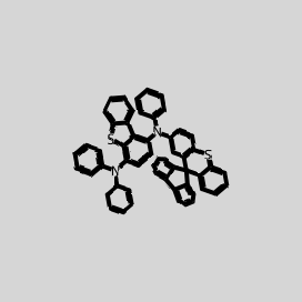 C1=CCC(N(c2ccccc2)c2ccc(N(c3ccccc3)c3ccc4c(c3)C3(c5ccccc5S4)c4ccccc4-c4ccccc43)c3c2sc2ccccc23)C=C1